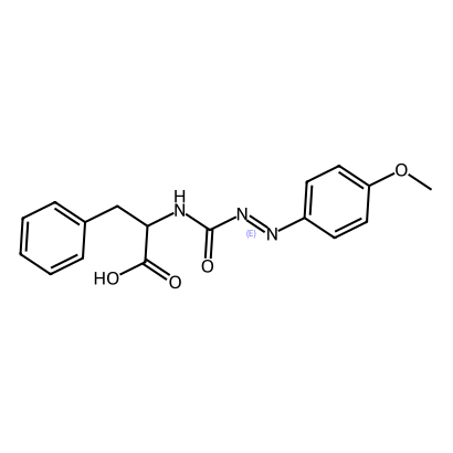 COc1ccc(/N=N/C(=O)NC(Cc2ccccc2)C(=O)O)cc1